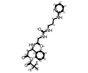 O=C(CNC(=O)NCCCNc1ccccn1)NC(CC(=O)OC(=O)C(F)(F)F)c1ccccc1